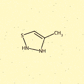 CC1=CSNN1